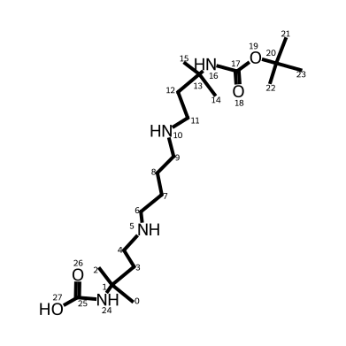 CC(C)(CCNCCCCNCCC(C)(C)NC(=O)OC(C)(C)C)NC(=O)O